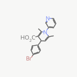 CC1=CC(c2ccc(Br)cc2)C(C(=O)O)=C(C)N1c1cccnc1